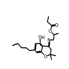 CCCCCc1cc(O)c2c(c1)OC(C)(C)CC2=NCC(C)OC(=O)CC